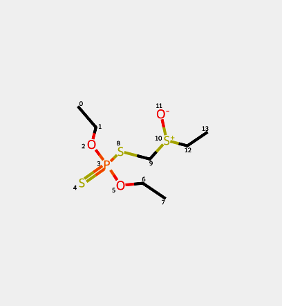 CCOP(=S)(OCC)SC[S+]([O-])CC